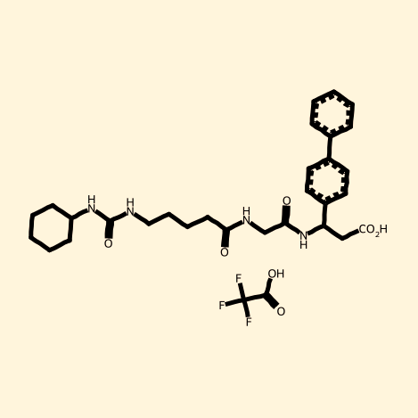 O=C(O)C(F)(F)F.O=C(O)CC(NC(=O)CNC(=O)CCCCNC(=O)NC1CCCCC1)c1ccc(-c2ccccc2)cc1